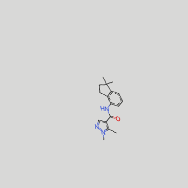 Cc1c(C(=O)Nc2cccc3c2CCC3(C)C)cnn1C